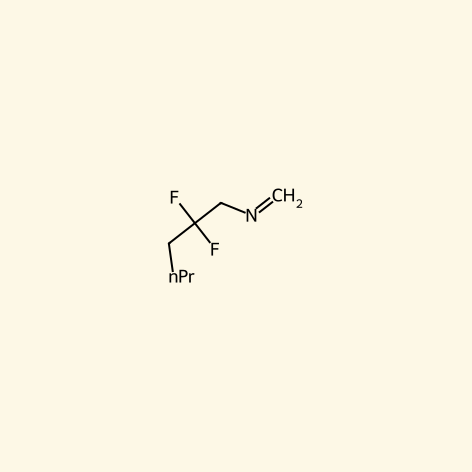 C=NCC(F)(F)CCCC